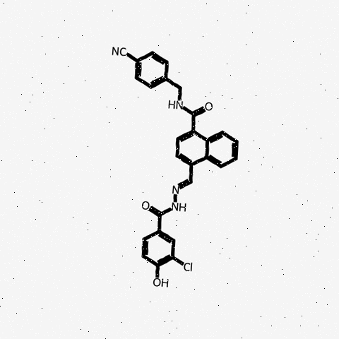 N#Cc1ccc(CNC(=O)c2ccc(/C=N/NC(=O)c3ccc(O)c(Cl)c3)c3ccccc23)cc1